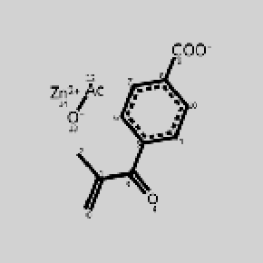 C=C(C)C(=O)c1ccc(C(=O)[O-])cc1.CC(=O)[O-].[Zn+2]